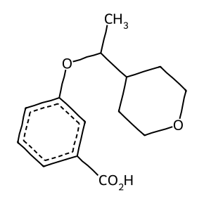 CC(Oc1cccc(C(=O)O)c1)C1CCOCC1